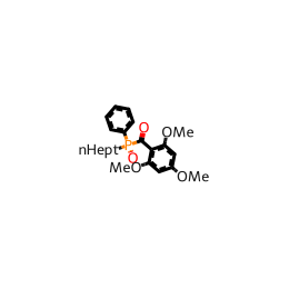 CCCCCCCP(=O)(C(=O)c1c(OC)cc(OC)cc1OC)c1ccccc1